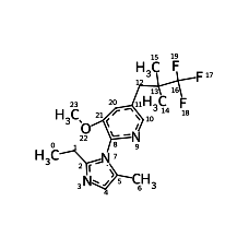 CCc1ncc(C)n1-c1ncc(CC(C)(C)C(F)(F)F)cc1OC